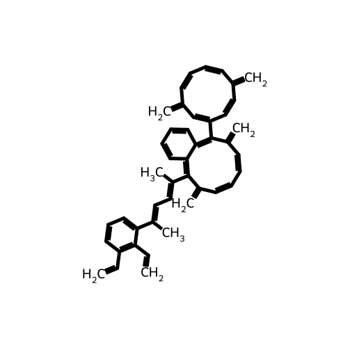 C=Cc1cccc(/C(C)=C/C=C(\C)c2c(=C)ccccc(=C)c(-c3ccc(=C)ccccc(=C)c3)c3ccccc23)c1C=C